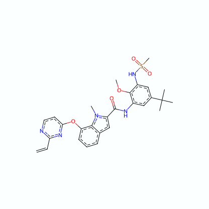 C=Cc1nccc(Oc2cccc3cc(C(=O)Nc4cc(C(C)(C)C)cc(NS(C)(=O)=O)c4OC)n(C)c23)n1